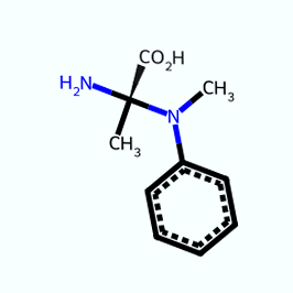 CN(c1ccccc1)[C@](C)(N)C(=O)O